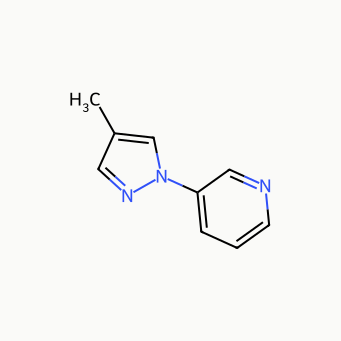 Cc1cnn(-c2cccnc2)c1